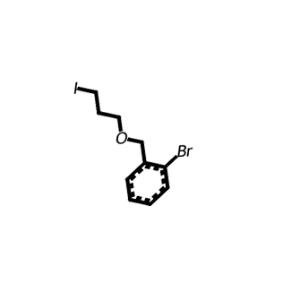 Brc1ccccc1COCCCI